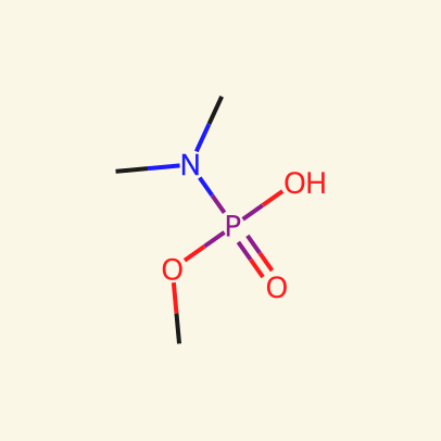 COP(=O)(O)N(C)C